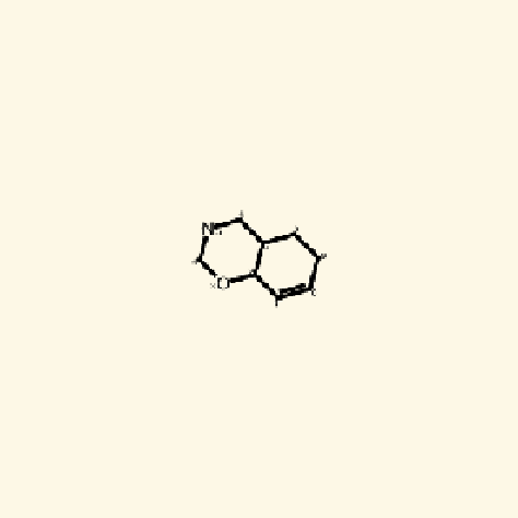 C1=CC2OC[N]CC2CC1